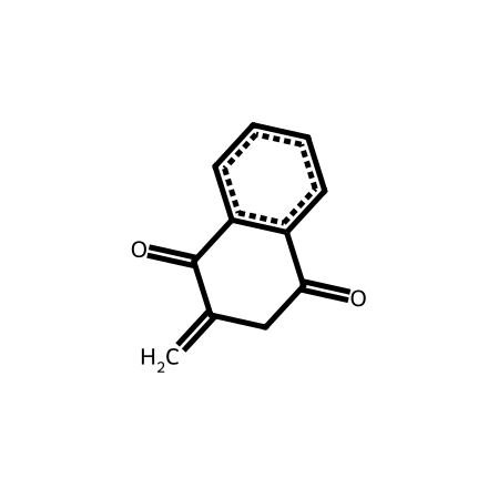 C=C1CC(=O)c2ccccc2C1=O